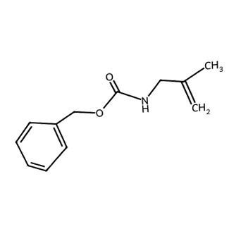 C=C(C)CNC(=O)OCc1ccccc1